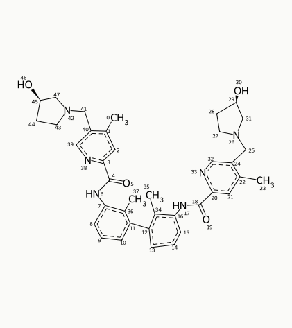 Cc1cc(C(=O)Nc2cccc(-c3cccc(NC(=O)c4cc(C)c(CN5CC[C@@H](O)C5)cn4)c3C)c2C)ncc1CN1CC[C@@H](O)C1